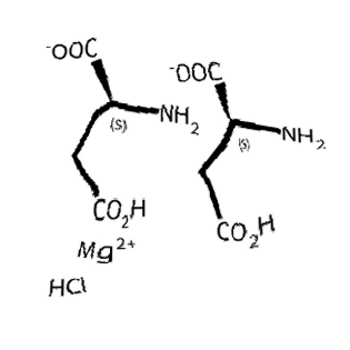 Cl.N[C@@H](CC(=O)O)C(=O)[O-].N[C@@H](CC(=O)O)C(=O)[O-].[Mg+2]